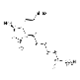 CCCCCCC=C[C@H]1[C@H](O)CC(=O)[C@@H]1CCCCCC(C)C(=O)O